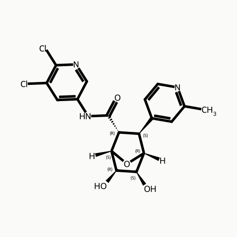 Cc1cc([C@H]2[C@H]3O[C@H]([C@H](O)[C@@H]3O)[C@@H]2C(=O)Nc2cnc(Cl)c(Cl)c2)ccn1